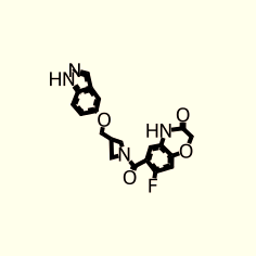 O=C1COc2cc(F)c(C(=O)N3CC(COc4ccc5[nH]ncc5c4)C3)cc2N1